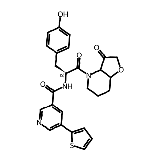 O=C(N[C@@H](Cc1ccc(O)cc1)C(=O)N1CCCC2OCC(=O)C21)c1cncc(-c2cccs2)c1